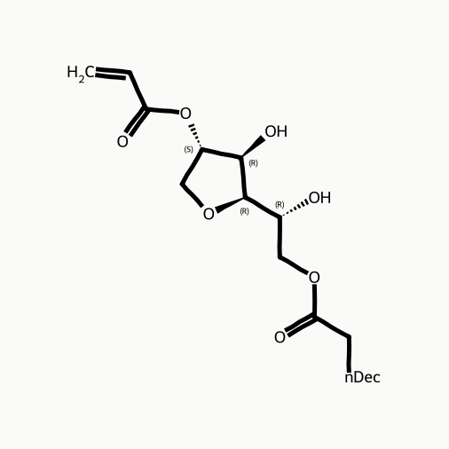 C=CC(=O)O[C@H]1CO[C@H]([C@H](O)COC(=O)CCCCCCCCCCC)[C@@H]1O